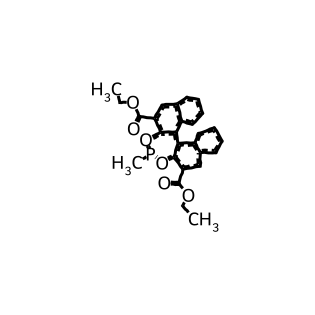 CCOC(=O)c1cc2ccccc2c2c1op(C)oc1c(C(=O)OCC)cc3ccccc3c12